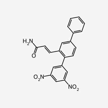 NC(=O)C=Cc1cc(-c2ccccc2)ccc1-c1cc([N+](=O)[O-])cc([N+](=O)[O-])c1